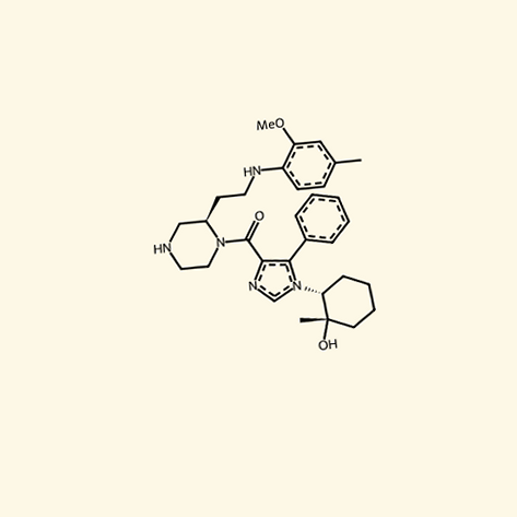 COc1cc(C)ccc1NCC[C@@H]1CNCCN1C(=O)c1ncn([C@@H]2CCCC[C@]2(C)O)c1-c1ccccc1